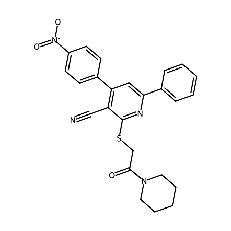 N#Cc1c(-c2ccc([N+](=O)[O-])cc2)cc(-c2ccccc2)nc1SCC(=O)N1CCCCC1